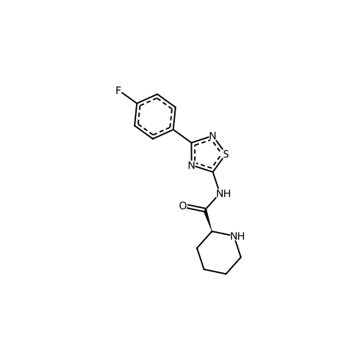 O=C(Nc1nc(-c2ccc(F)cc2)ns1)[C@@H]1CCCCN1